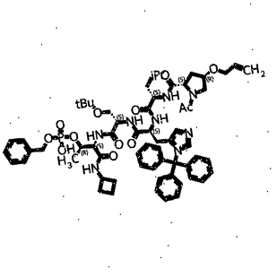 C=CCO[C@@H]1C[C@@H](C(=O)N[C@@H](CC(C)C)C(=O)N[C@@H](Cc2cncn2C(c2ccccc2)(c2ccccc2)c2ccccc2)C(=O)N[C@@H](COC(C)(C)C)C(=O)N[C@H](C(=O)NC2CCC2)[C@@H](C)OP(=O)(O)OCc2ccccc2)N(C(C)=O)C1